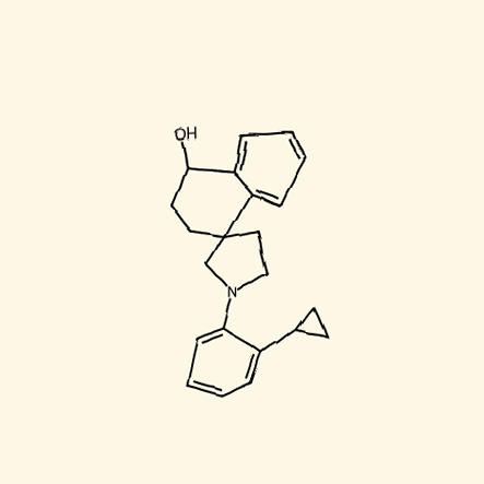 OC1CCC2(CCN(c3ccccc3C3CC3)C2)c2ccccc21